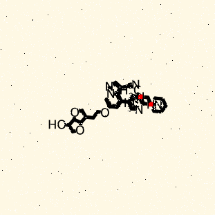 CN(C)CCN1C2CC1CN(c1ccc(-c3cc(OCCC4COC5C(O)COC45)cn4ncc(C#N)c34)cn1)C2